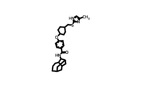 Cc1c[nH]c(SCC2CCC(Oc3ccc(C(=O)NC4C5CC6CCCC4C(C6)C5)cc3)CC2)n1